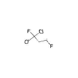 F[CH]CC(F)(Cl)Cl